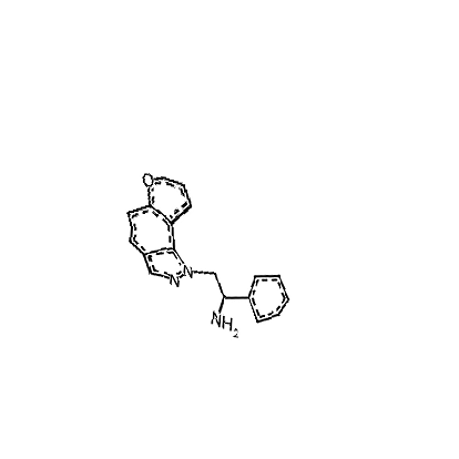 NC(Cn1ncc2ccc3occc3c21)c1ccccc1